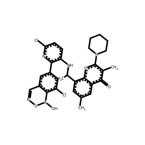 Cc1cc(C(C)Nc2ccc(Cl)nc2-c2cc(Cl)c3c(c2)C=NOB3O)c2oc(N3CCCCC3)c(C)c(=O)c2c1